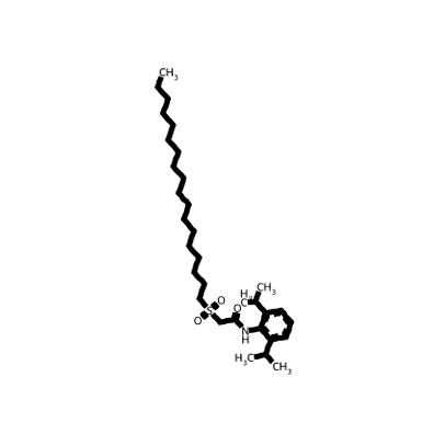 CCCCCCCCCCCCCCCCCCS(=O)(=O)CC(=O)Nc1c(C(C)C)cccc1C(C)C